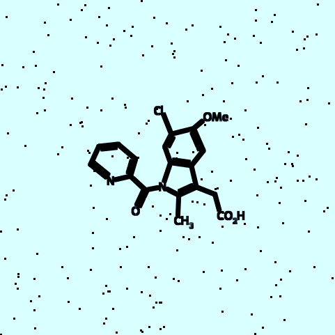 COc1cc2c(CC(=O)O)c(C)n(C(=O)c3ccccn3)c2cc1Cl